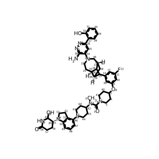 CN(C(=O)N1CCC(Oc2cc(F)cc(C3C4[C@H]5C[C@@H]3[C@H]4CCN(c3cc(-c4ccccc4O)nnc3N)C5)c2)CC1)C1CCN(c2cccc3c2CCN3[C@@H]2CCC(=O)NC2O)CC1